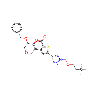 C[Si](C)(C)CCOCn1cc(-c2cc3c4c(oc(=O)c3s2)C(OCc2ccccc2)COC4)cn1